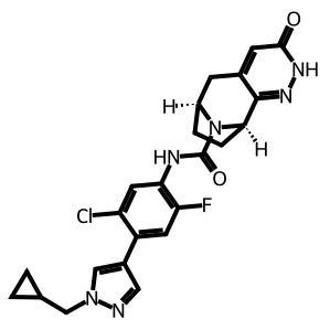 O=C(Nc1cc(Cl)c(-c2cnn(CC3CC3)c2)cc1F)N1[C@H]2CC[C@@H]1c1n[nH]c(=O)cc1C2